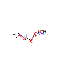 C=CC(=O)NCCOc1ccc(C#CC(=O)C#Cc2ccc(OCCNC(=O)C=C)cc2)cc1